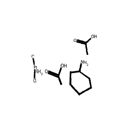 CC(=O)O.CC(=O)O.N.NC1CCCCC1.[Cl][Pt][Cl]